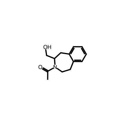 CC(=O)N1CCc2ccccc2CC1CO